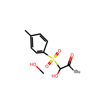 CO.Cc1ccc(S(=O)(=O)C(O)C(=O)C(C)(C)C)cc1